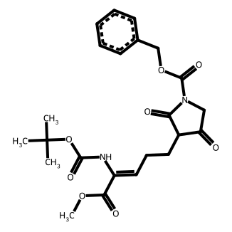 COC(=O)C(=CCCC1C(=O)CN(C(=O)OCc2ccccc2)C1=O)NC(=O)OC(C)(C)C